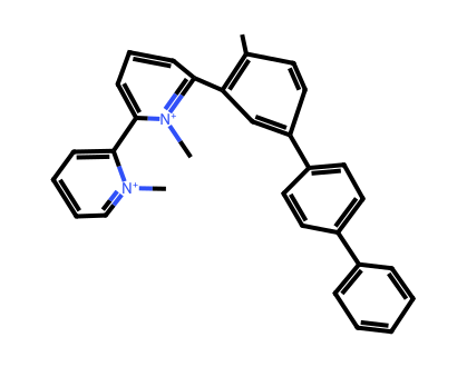 Cc1ccc(-c2ccc(-c3ccccc3)cc2)cc1-c1cccc(-c2cccc[n+]2C)[n+]1C